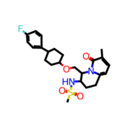 Cc1ccc2n(c1=O)C(COC1CCC(c3ccc(F)cc3)CC1)C(NS(C)(=O)=O)CC2